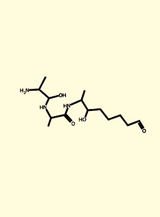 CC(NC(O)C(C)N)C(=O)NC(C)C(O)CCCCC=O